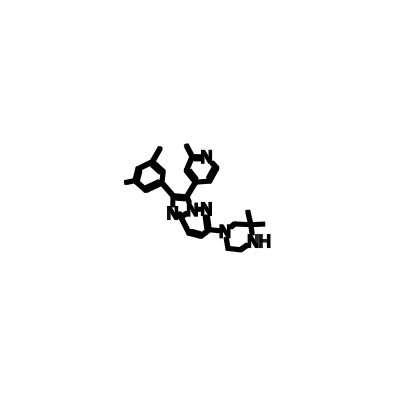 Cc1cc(C)cc(-c2nc3ccc(N4CCNC(C)(C)C4)nn3c2-c2ccnc(C)c2)c1